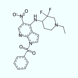 CCN1CCC(Nc2c([N+](=O)[O-])cnc3c2ccn3S(=O)(=O)c2ccccc2)C(F)(F)C1